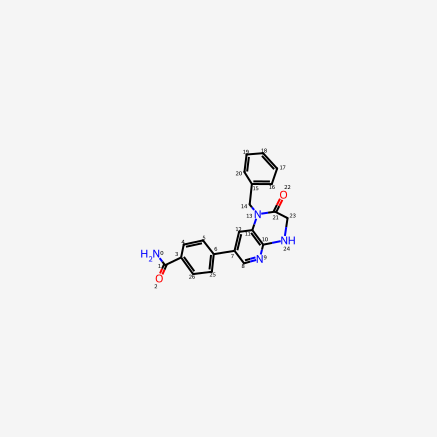 NC(=O)c1ccc(-c2cnc3c(c2)N(Cc2ccccc2)C(=O)CN3)cc1